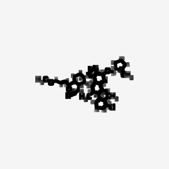 COC/C=C/C(=O)N1CC[C@H](n2nnc3c(OC[C@@H]4CCCN4C)nc4c(F)c(-c5cccc(Cl)c5C)c(C)cc4c32)C[C@H]1CC#N